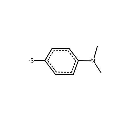 CN(C)c1ccc([S])cc1